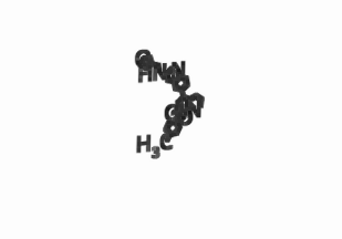 Cc1ccc(S(=O)(=O)n2cc(-c3ccc4ncc(NCc5ccoc5)cc4c3)c3cccnc32)cc1